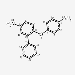 Nc1ccc(Oc2ccc(N)cc2-c2ccccc2)cc1